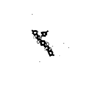 Cc1ccc(-n2c3c4ccc(C)cc4oc3c3oc4cc5c(cc4c32)oc2c5sc3c4ccc(C)cc4sc23)cc1